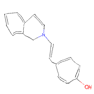 Oc1ccc(C=CN2C=Cc3ccccc3C2)cc1